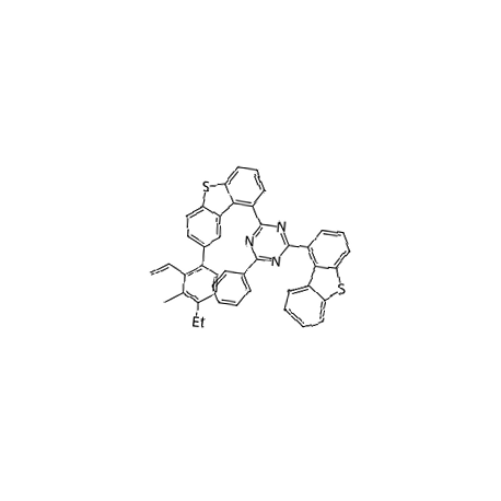 C=Cc1c(-c2ccc3sc4cccc(-c5nc(-c6ccccc6)nc(-c6cccc7sc8ccccc8c67)n5)c4c3c2)ccc(CC)c1C